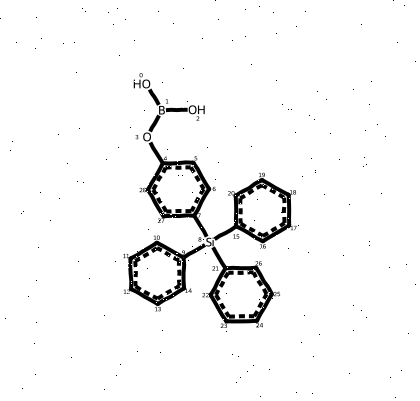 OB(O)Oc1ccc([Si](c2ccccc2)(c2ccccc2)c2ccccc2)cc1